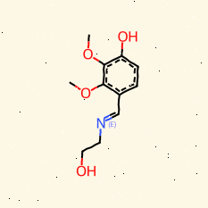 COc1c(O)ccc(/C=N/CCO)c1OC